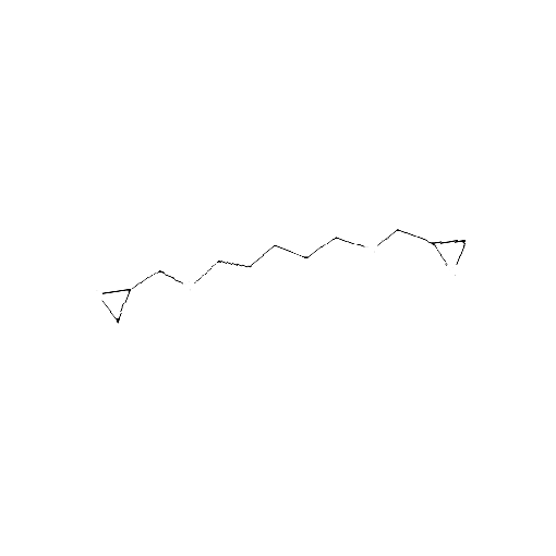 C(CCSCC1CS1)CCSCC1CS1